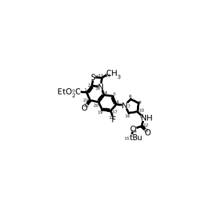 CCOC(=O)c1c2n(c3cc(N4CCC(NC(=O)OC(C)(C)C)C4)c(F)cc3c1=O)C(C)S2